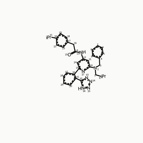 CC(C)CN(Cc1ccccc1)c1cc(NC(=O)Cc2ccc(C(C)C)cc2)cc(-c2ccccc2-c2nnn[nH]2)n1